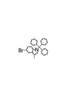 Cc1cn(C(c2ccccc2)(c2ccccc2)c2ccccc2)c2ccc(Br)cc12